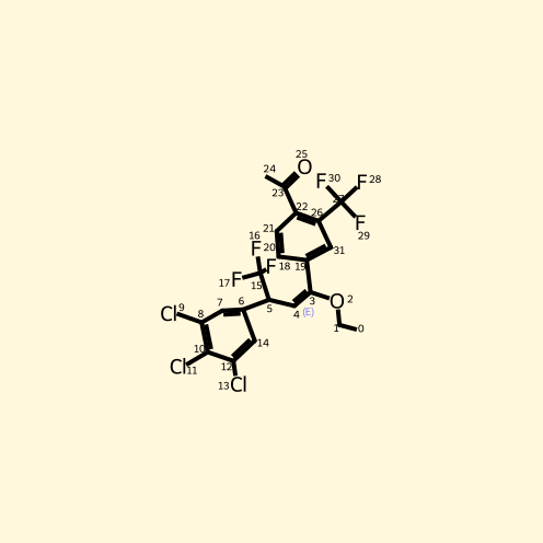 CCO/C(=C/C(c1cc(Cl)c(Cl)c(Cl)c1)C(F)(F)F)c1ccc(C(C)=O)c(C(F)(F)F)c1